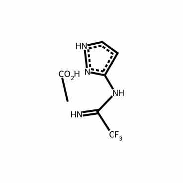 CC(=O)O.N=C(Nc1cc[nH]n1)C(F)(F)F